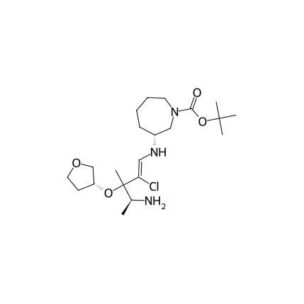 C[C@H](N)C(C)(O[C@@H]1CCOC1)/C(Cl)=C/N[C@@H]1CCCCN(C(=O)OC(C)(C)C)C1